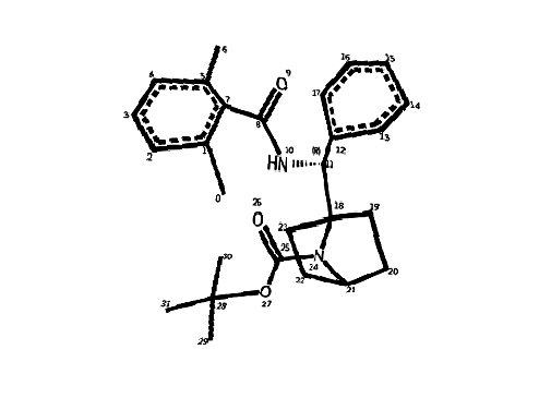 Cc1cccc(C)c1C(=O)N[C@H](c1ccccc1)C12CCC(CC1)N2C(=O)OC(C)(C)C